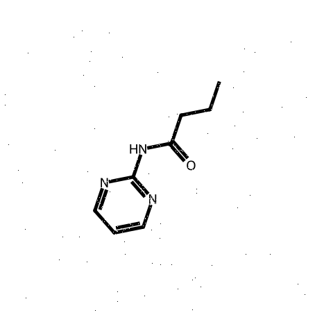 CCCC(=O)Nc1ncccn1